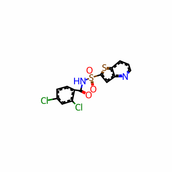 O=C(NS(=O)(=O)c1cc2ncccc2s1)c1ccc(Cl)cc1Cl